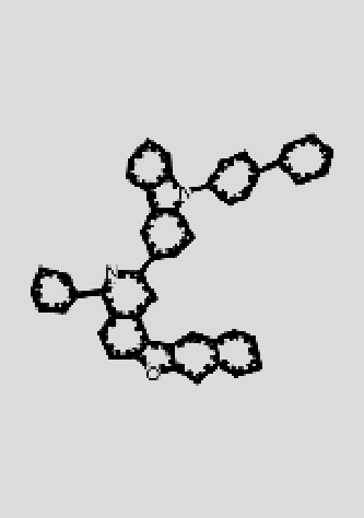 c1ccc(-c2ccc(-n3c4ccccc4c4cc(-c5cc6c(ccc7oc8cc9ccccc9cc8c76)c(-c6ccccc6)n5)ccc43)cc2)cc1